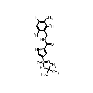 [2H]c1cc(F)c(C)c([2H])c1CNC(=O)c1cc(S(=O)(=O)NC(C)(C)C)c[nH]1